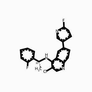 C[C@@H](Nc1c(Cl)cnc2ccc(-c3ccc(F)nc3)cc12)c1ccccc1F